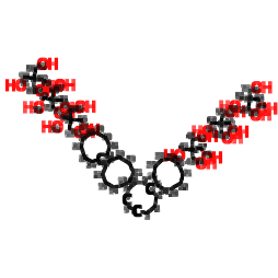 C1CCCCCCCCC1.C1CCCCCCCCC1.C1CCCCCCCCC1.C1CCCCCCCCC1.OCC(CO)(CO)CO.OCC(CO)(CO)CO.OCC(CO)(CO)CO.OCC(CO)(CO)CO.OCC(CO)(CO)CO.OCC(CO)(CO)CO